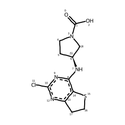 O=C(O)N1CC[C@H](Nc2nc(Cl)nc3c2SCC3)C1